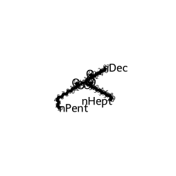 CCCCC/C=C\C/C=C\CCCCCCCC(=O)OC[C@@H](COC(=O)CCCCCCCCCCCCCCC)OC(=O)CCCCCCC/C=C\CCCCCCC